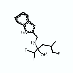 CC(CF)CC(O)(NCc1cc2ccccc2[nH]1)C(F)F